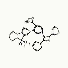 CC1(C)c2cc(-c3cc(N4C(C5C=CC=CC5)=NC4C4=CCCC=C4)ccc3C3N=CN3)ccc2C2C=CCCC21